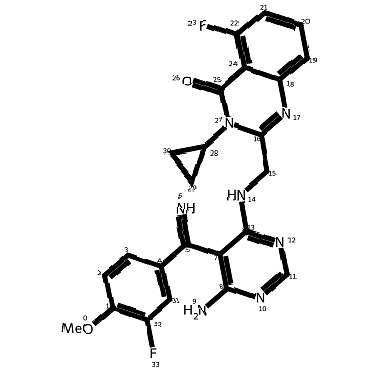 COc1ccc(C(=N)c2c(N)ncnc2NCc2nc3cccc(F)c3c(=O)n2C2CC2)cc1F